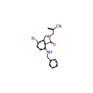 C=C(C#N)CN1Cc2c(Br)ccc(NCc3ccccc3)c2C1=O